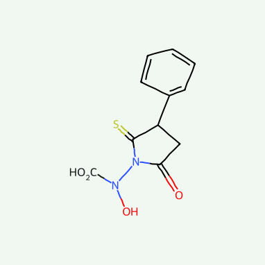 O=C(O)N(O)N1C(=O)CC(c2ccccc2)C1=S